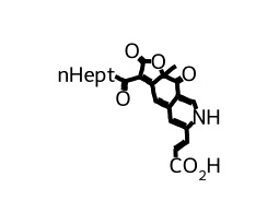 CCCCCCCC(=O)C1=C2C=C3C=C(C=CC(=O)O)NC=C3C(=O)C2(C)OC1=O